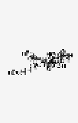 CCCCCCCCCCCCCCCC(=O)O[C@H](CCNC(=O)CCC)COP(=O)(O)OC1C(O)[C@@H](O)C(OP(=O)(O)O)[C@@H](O)[C@H]1O